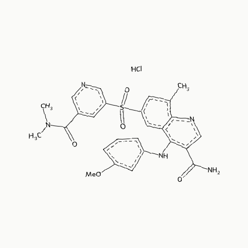 COc1cccc(Nc2c(C(N)=O)cnc3c(C)cc(S(=O)(=O)c4cncc(C(=O)N(C)C)c4)cc23)c1.Cl